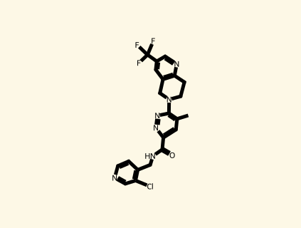 Cc1cc(C(=O)NCc2ccncc2Cl)nnc1N1CCc2ncc(C(F)(F)F)cc2C1